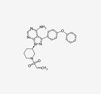 C=CS(=O)(=O)N1CCC[C@@H](n2nc(-c3ccc(Oc4ccccc4)cc3)c3c(N)ncnc32)C1